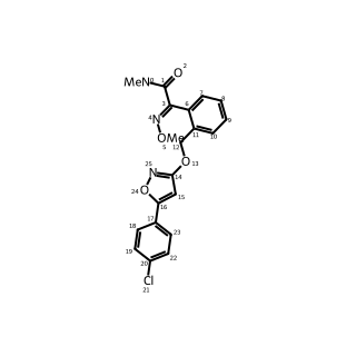 CNC(=O)/C(=N/OC)c1ccccc1COc1cc(-c2ccc(Cl)cc2)on1